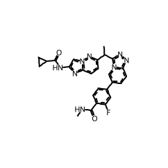 CNC(=O)c1ccc(-c2ccc3nnc(C(C)c4ccc5nc(NC(=O)C6CC6)cn5n4)n3c2)cc1F